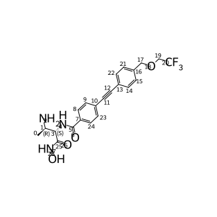 C[C@@H](N)[C@H](NC(=O)c1ccc(C#Cc2ccc(COCC(F)(F)F)cc2)cc1)C(=O)NO